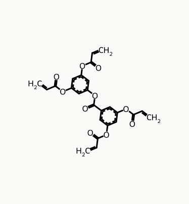 C=CC(=O)Oc1cc(OC(=O)C=C)cc(OC(=O)c2cc(OC(=O)C=C)cc(OC(=O)C=C)c2)c1